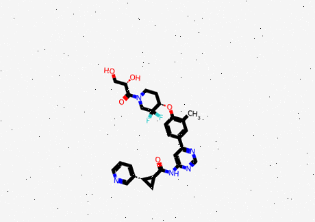 Cc1cc(-c2cc(NC(=O)C3C[C@@H]3c3cccnc3)ncn2)ccc1O[C@H]1CCN(C(=O)[C@@H](O)CO)CC1(F)F